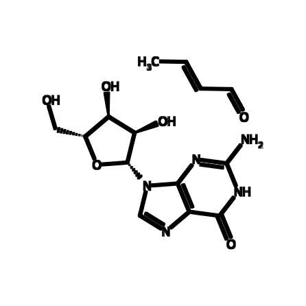 CC=CC=O.Nc1nc2c(ncn2[C@@H]2O[C@H](CO)[C@@H](O)[C@H]2O)c(=O)[nH]1